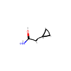 [NH]C(=O)CC1CC1